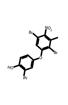 Cc1c(Br)c(Oc2ccc(O)c(C(C)C)c2)cc(Br)c1[N+](=O)[O-]